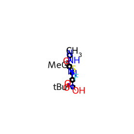 COc1cc2c(cc1C(=O)NC1CCN(C)CC1)sc1nc(-c3ccc([C@H]4C[C@@H](O)CN4C(=O)OC(C)(C)C)cc3F)cn12